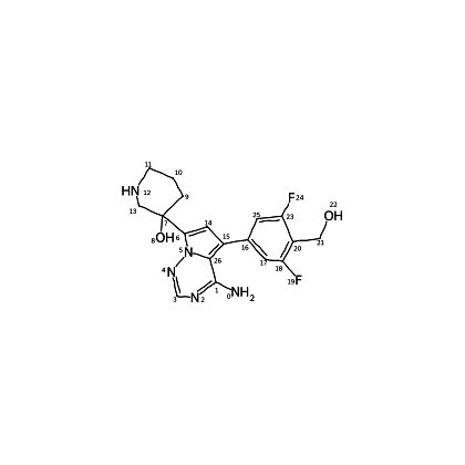 Nc1ncnn2c(C3(O)CCCNC3)cc(-c3cc(F)c(CO)c(F)c3)c12